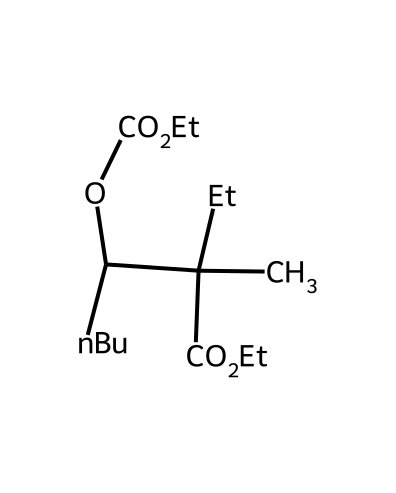 CCCCC(OC(=O)OCC)C(C)(CC)C(=O)OCC